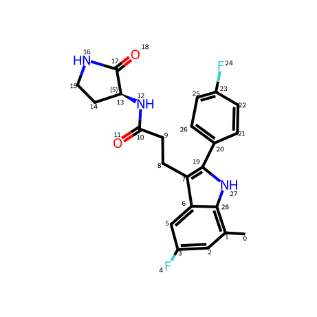 Cc1cc(F)cc2c(CCC(=O)N[C@H]3CCNC3=O)c(-c3ccc(F)cc3)[nH]c12